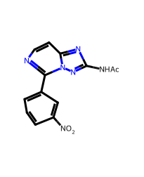 CC(=O)Nc1nc2ccnc(-c3cccc([N+](=O)[O-])c3)n2n1